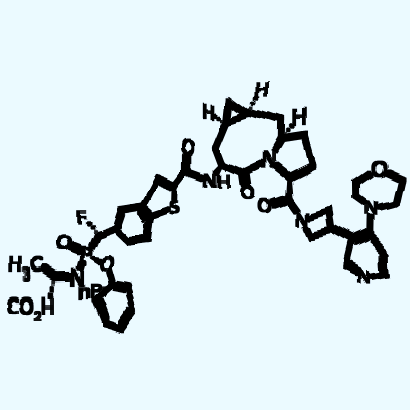 CCCN([C@@H](C)C(=O)O)[P@@](=O)(Oc1ccccc1)[C@H](F)c1ccc2sc(C(=O)N[C@H]3C[C@H]4C[C@H]4C[C@H]4CC[C@@H](C(=O)N5CC(c6cnccc6N6CCOCC6)C5)N4C3=O)cc2c1